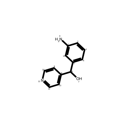 Nc1cccc(C(O)c2ccncc2)c1